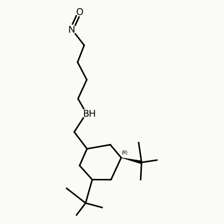 CC(C)(C)C1CC(CBCCCCN=O)C[C@@H](C(C)(C)C)C1